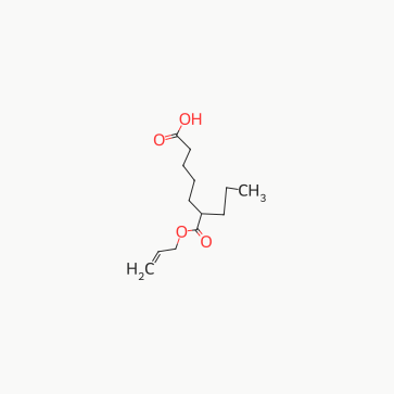 C=CCOC(=O)C(CCC)CCCCC(=O)O